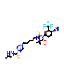 CCCNC(=S)N1CCN(CCCCCN2C(=S)N(c3ccc(C#N)c(C(F)(F)F)c3)C(=O)C2(C)C)CC1